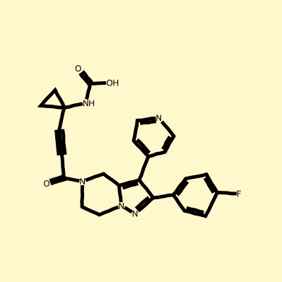 O=C(O)NC1(C#CC(=O)N2CCn3nc(-c4ccc(F)cc4)c(-c4ccncc4)c3C2)CC1